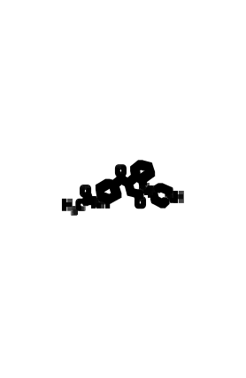 CC(=O)Nc1ccc(C(=O)C2CC(=O)N(N3CCNCC3)c3ccccc32)cc1